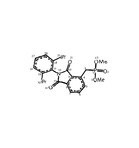 COP(=O)(Cc1cccc2c1C(=O)N(c1c(C(C)C)cccc1C(C)C)C2=O)OC